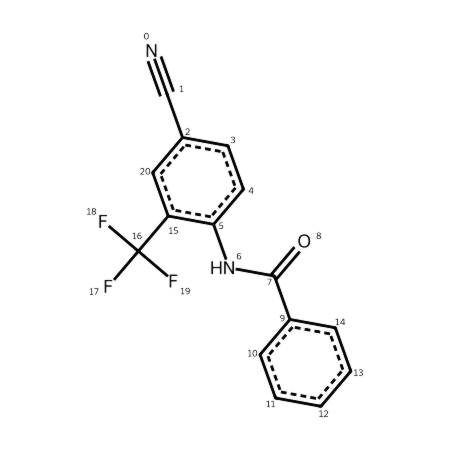 N#Cc1ccc(NC(=O)c2ccccc2)c(C(F)(F)F)c1